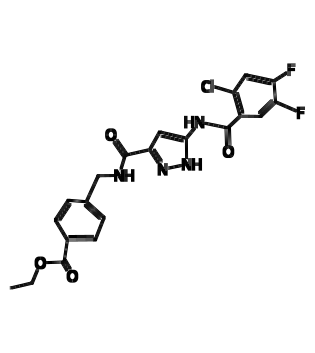 CCOC(=O)c1ccc(CNC(=O)c2cc(NC(=O)c3cc(F)c(F)cc3Cl)[nH]n2)cc1